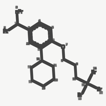 CCCC(CC)c1ccc(OCCC[Si](Br)(Br)Br)c(C2CCCCC2)c1